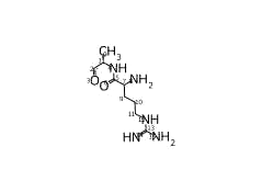 C[C@H]([C]=O)NC(=O)C(N)CCCNC(=N)N